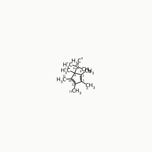 CC1=C(C)C(C)([Si](C)(C)C)C(C)=C1C